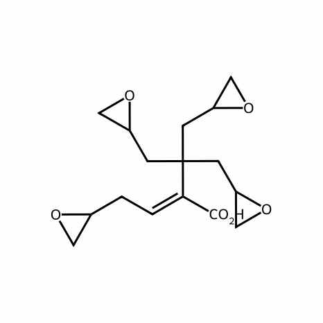 O=C(O)C(=CCC1CO1)C(CC1CO1)(CC1CO1)CC1CO1